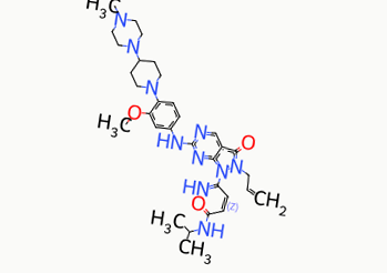 C=CCn1c(=O)c2cnc(Nc3ccc(N4CCC(N5CCN(C)CC5)CC4)c(OC)c3)nc2n1C(=N)/C=C\C(=O)NC(C)C